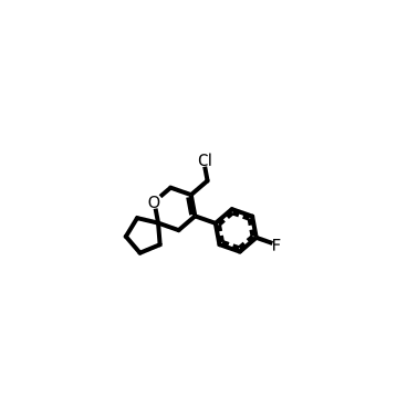 Fc1ccc(C2=C(CCl)COC3(CCCC3)C2)cc1